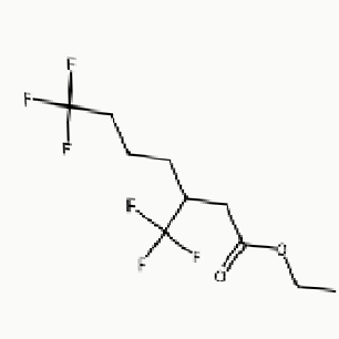 CCOC(=O)CC(CCCC(F)(F)F)C(F)(F)F